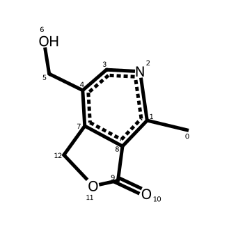 Cc1ncc(CO)c2c1C(=O)OC2